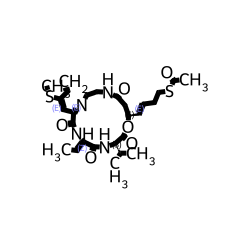 C=C/C(=C\C1=N/CCNC(=O)C[C@@H](/C=C/CCSC(C)=O)OC(=O)[C@H](C(C)C)NC(=O)/C(=C/C)NC1=O)SC